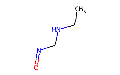 CCNCN=O